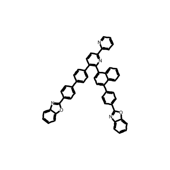 c1ccc(-c2ccc(-c3ccc(-c4ccc(-c5nc6ccccc6o5)cc4)cc3)c(-c3ccc(-c4ccc(-c5nc6ccccc6o5)cc4)c4ccccc34)n2)nc1